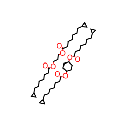 O=C(CCCCCCC1CC1)OC1CCC(OC(=O)CCCCCCC2CC2)CC1.O=C(CCCCCCC1CC1)OCCCOC(=O)CCCCCCC1CC1